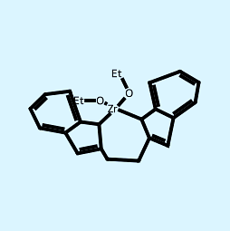 CC[O][Zr]1([O]CC)[CH]2C(=Cc3ccccc32)CCC2=Cc3ccccc3[CH]21